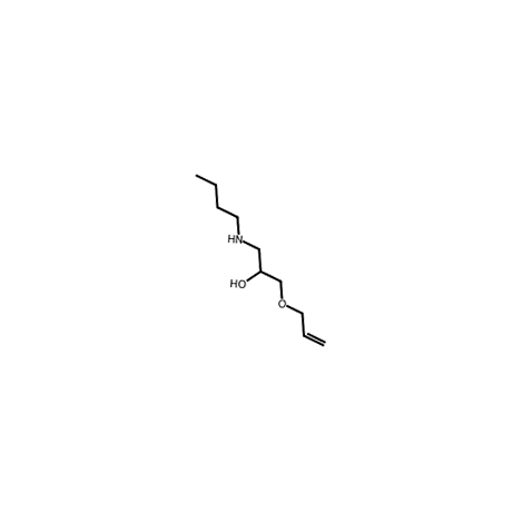 C=CCOCC(O)CNCCCC